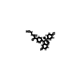 O=C(NCCO)c1ccc(C(c2cc(F)ccc2F)S(=O)(=O)c2ccc(Cl)cc2)nc1